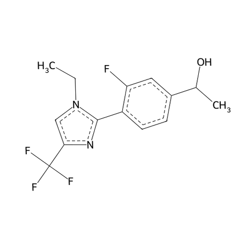 CCn1cc(C(F)(F)F)nc1-c1ccc(C(C)O)cc1F